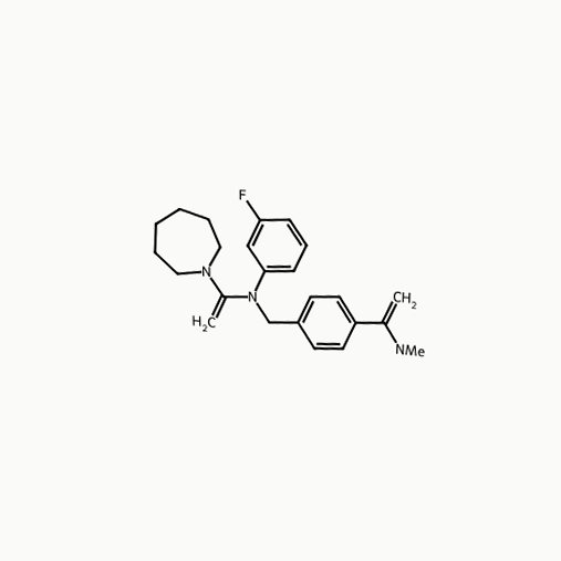 C=C(NC)c1ccc(CN(C(=C)N2CCCCCC2)c2cccc(F)c2)cc1